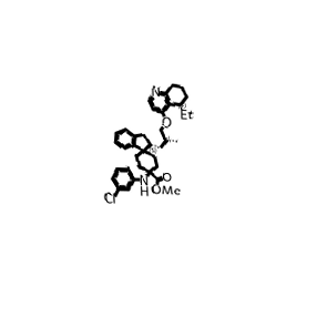 CC[C@H]1CCCc2nccc(OC[C@H](C)C[C@H]3Cc4ccccc4C34CCC(Nc3cccc(Cl)c3)(C(=O)OC)CC4)c21